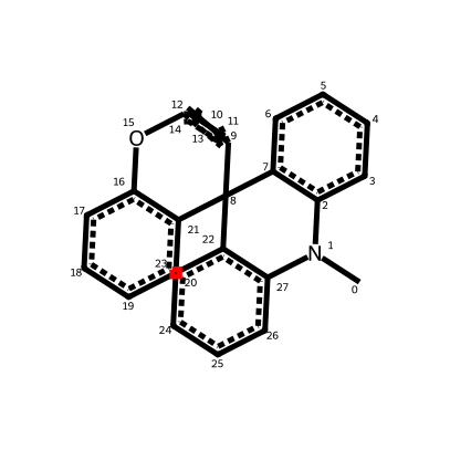 CN1c2ccccc2C2(c3ccccc3Oc3ccccc32)c2ccccc21